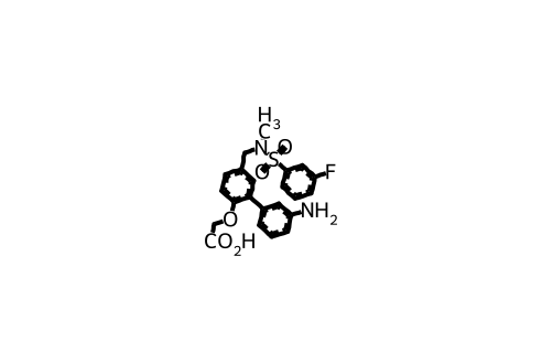 CN(Cc1ccc(OCC(=O)O)c(-c2cccc(N)c2)c1)S(=O)(=O)c1cccc(F)c1